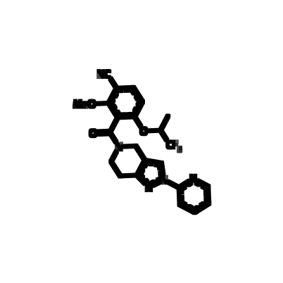 COc1c(C#N)ccc(OC(C)C(F)(F)F)c1C(=O)N1CCc2nn(-c3ccccn3)cc2C1